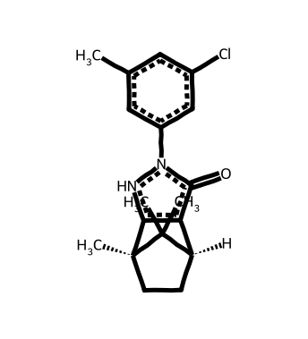 Cc1cc(Cl)cc(-n2[nH]c3c(c2=O)[C@H]2CC[C@]3(C)C2(C)C)c1